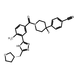 Cc1ccc(C(=O)N2CCC(F)(c3ccc(C#N)cc3)CC2)cc1-c1nnc(C[C@@H]2CCOC2)[nH]1